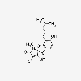 CC(C)CCCc1c(O)ccc2c1OC1(C2=O)C(Br)=C(Cl)C(=O)N1C